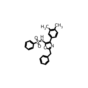 Cc1ccc(-c2nc(Cc3ccccc3)oc2NS(=O)(=O)c2ccccc2)cc1C